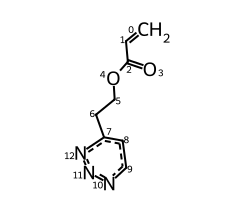 C=CC(=O)OCCc1ccnnn1